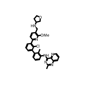 COc1nc(-c2cccc(-c3cccc(Nc4nc(C)nc5cccnc45)c3C)c2Cl)ccc1CNC1CCOC1